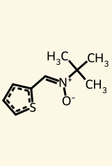 CC(C)(C)[N+]([O-])=Cc1cccs1